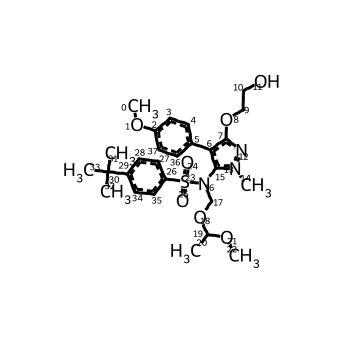 COc1ccc(-c2c(OCCO)nn(C)c2N(COC(C)OC)S(=O)(=O)c2ccc(C(C)(C)C)cc2)cc1